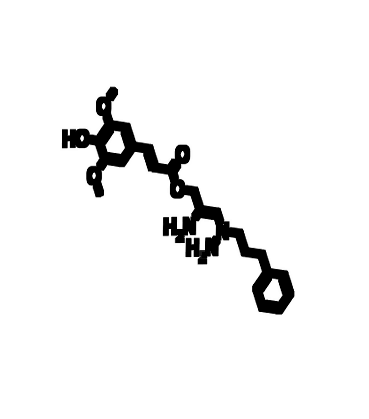 COc1cc(/C=C/C(=O)OC/C(N)=C/N(N)CCCc2ccccc2)cc(OC)c1O